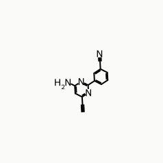 C#Cc1cc(N)nc(-c2cccc(C#N)c2)n1